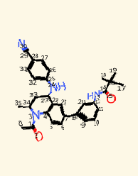 CC(=O)N1c2ccc(-c3cccc(NC(=O)C(C)(C)C)c3)cc2[C@H](Nc2ccc(C#N)cc2)C[C@@H]1C